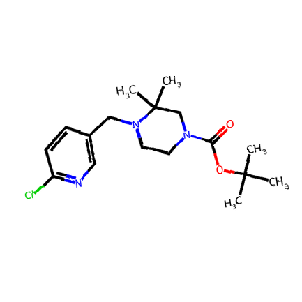 CC(C)(C)OC(=O)N1CCN(Cc2ccc(Cl)nc2)C(C)(C)C1